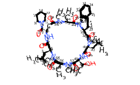 CC(C)C[C@H]1C(=O)N[C@H](C(=O)N2CCCCC2)CC(=O)N(C)[C@@H](C)C(=O)N(C)[C@@H](Cc2ccccc2)C(=O)N(C)[C@@H](CC(C)C)C(=O)N[C@@H](C(C)O)C(=O)N(C)[C@@H](C)C(=O)N1C